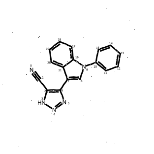 N#Cc1[nH]nnc1-c1cn(-c2ccccc2)c2ccccc12